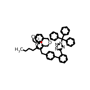 CCCCc1c(Cc2ccc(-c3ccccc3-c3nnn(C(c4ccccc4)(c4ccccc4)c4ccccc4)n3)cc2)c(COCc2ccccc2)nn1CC